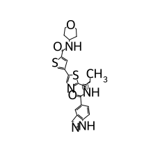 CC[C@@H](NC(=O)c1ccc2[nH]ncc2c1)c1ncc(-c2csc(C(=O)NC3CCOCC3)c2)s1